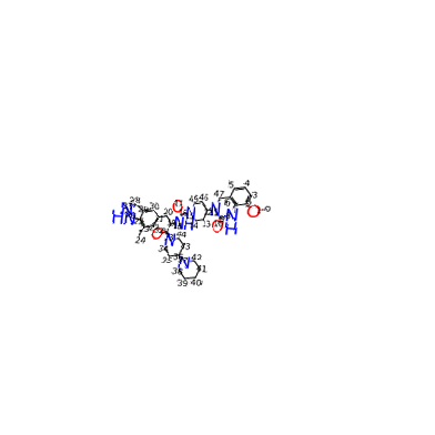 COc1cccc2c1NC(=O)N(C1CCN(C(=O)NC(Cc3cc(C)c4[nH]ncc4c3)C(=O)N3CCC(N4CCCCC4)CC3)CC1)C2